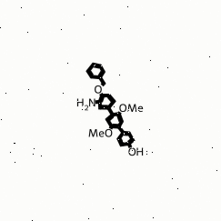 COc1cc(-c2ccc(OCc3ccccc3)c(N)c2)c(OC)cc1-c1ccc(O)cc1